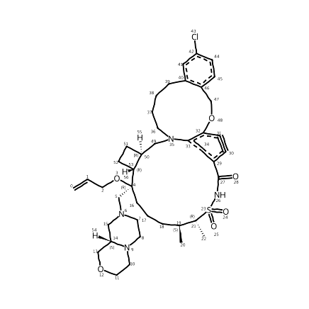 C=CCO[C@]1(CN2CCN3CCOC[C@@H]3C2)CCC[C@H](C)[C@@H](C)S(=O)(=O)NC(=O)c2c#cc3c(c2)N(CCCCc2cc(Cl)ccc2CO3)C[C@@H]2CC[C@H]21